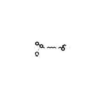 C[N+]1(C)CCC(OC(=O)Nc2cc(C(=O)OCCCCCCCNC[C@H](O)c3ccc(O)c4[nH]c(=O)ccc34)ccc2-c2ccccc2)CC1